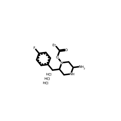 CCC(=O)ON1CC(N)NCC1Cc1ccc(F)cc1.Cl.Cl.Cl